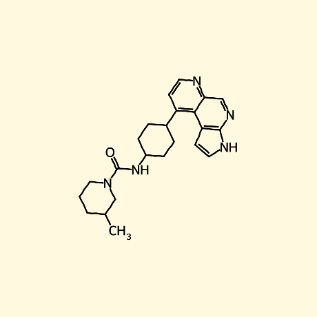 CC1CCCN(C(=O)NC2CCC(c3ccnc4cnc5[nH]ccc5c34)CC2)C1